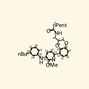 CCCCCC(=O)NCC1COc2cccc(-c3ccc(Nc4cccc(CCCC)c4)c(OC)n3)c2O1